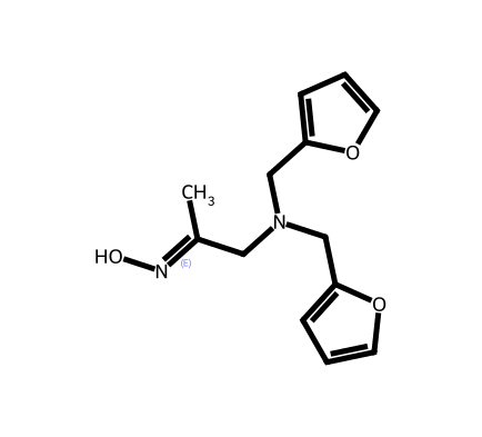 C/C(CN(Cc1ccco1)Cc1ccco1)=N\O